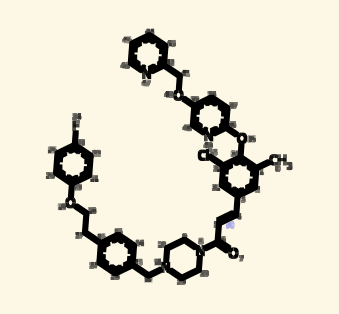 Cc1cc(/C=C/C(=O)N2CCN(Cc3ccc(CCOc4ccc(F)cc4)cc3)CC2)cc(Cl)c1Oc1ccc(OCc2ccccn2)cn1